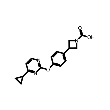 O=C(O)N1CC(c2ccc(Oc3nccc(C4CC4)n3)cc2)C1